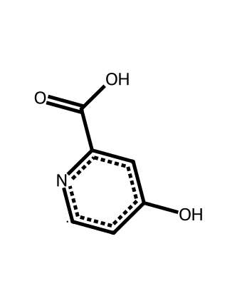 O=C(O)c1cc(O)c[c]n1